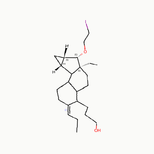 CC/C=C1/CCC2C(CC[C@@]3(CC)C2[C@@H]2C[C@@H]2[C@@H]3OCCI)C1CCCO